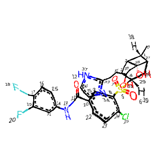 C[C@H]1C2C[C@@H](S(=O)(=O)c3cc(C(=O)Nc4ccc(F)c(F)c4)ccc3Cl)CC1[C@@]2(O)C(O)Cc1ncc[nH]1